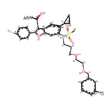 CNC(=O)c1c(-c2ccc(F)cc2)oc2cc(N(CCCOCCOCc3cccc(C(C)=O)c3)S(C)(=O)=O)c(C3CC3)cc12